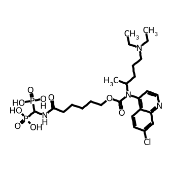 CCN(CC)CCCC(C)N(C(=O)OCCCCCC(=O)NC(P(=O)(O)O)P(=O)(O)O)c1ccnc2cc(Cl)ccc12